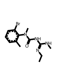 CCN=C(NC)NC(=O)N(C)c1c(C)cccc1Br